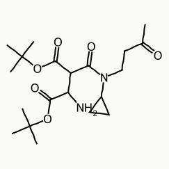 CC(=O)CCN(C(=O)C(C(=O)OC(C)(C)C)C(N)C(=O)OC(C)(C)C)C1CC1